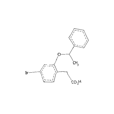 CC(Oc1cc(Br)ccc1CC(=O)O)c1ccccc1